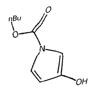 CCCCOC(=O)n1ccc(O)c1